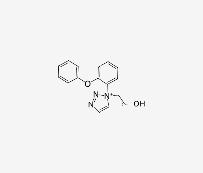 O[C]C[N+]1(c2ccccc2Oc2ccccc2)C=CN=N1